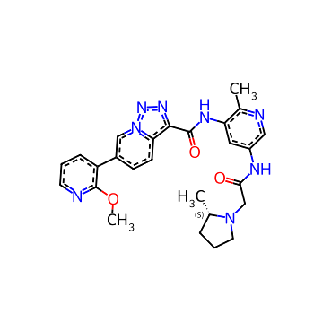 COc1ncccc1-c1ccc2c(C(=O)Nc3cc(NC(=O)CN4CCC[C@@H]4C)cnc3C)nnn2c1